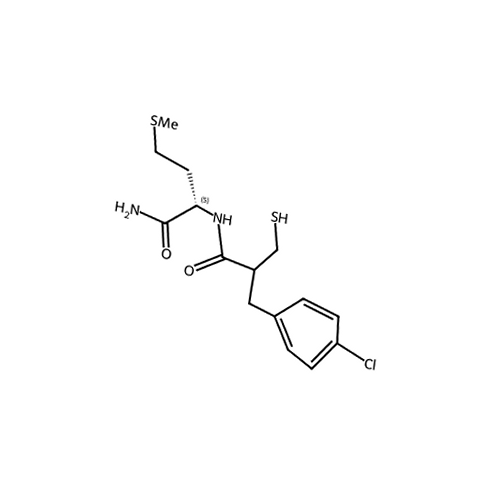 CSCC[C@H](NC(=O)C(CS)Cc1ccc(Cl)cc1)C(N)=O